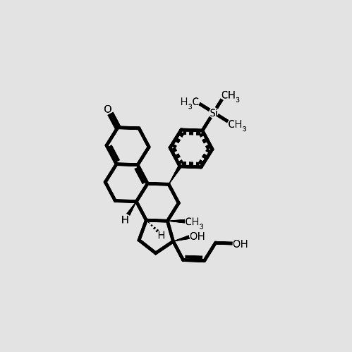 C[C@]12C[C@H](c3ccc([Si](C)(C)C)cc3)C3=C4CCC(=O)C=C4CC[C@H]3[C@@H]1CC[C@@]2(O)/C=C\CO